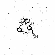 COc1cccc(CCNc2nc(Nc3cccc(CCCO)c3)ncc2Cl)c1